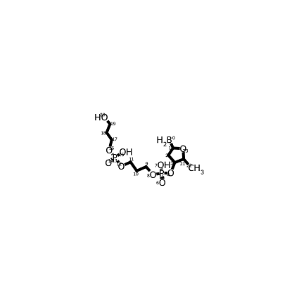 BC1CC(OP(=O)(O)OCCCOP(=O)(O)OCCCO)C(C)O1